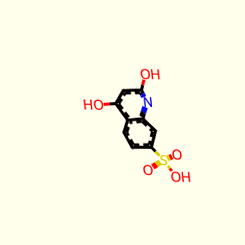 O=S(=O)(O)c1ccc2c(O)cc(O)nc2c1